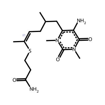 C/C(=C/CC(C)Cc1c(N)c(=O)n(C)c(=O)n1C)SCCC(N)=O